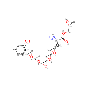 C1CO1.C1CO1.C1CO1.C1CO1.C1CO1.CC(N)C(=O)OCC1CO1.Oc1ccccc1